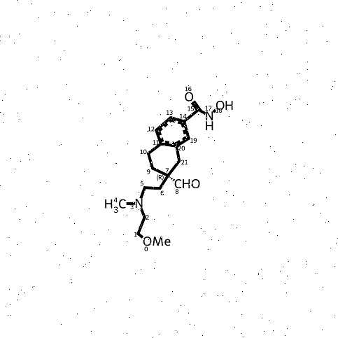 COCCN(C)CC[C@@]1(C=O)CCc2ccc(C(=O)NO)cc2C1